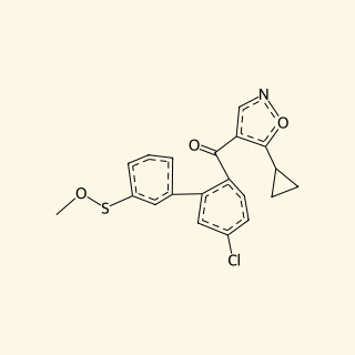 COSc1cccc(-c2cc(Cl)ccc2C(=O)c2cnoc2C2CC2)c1